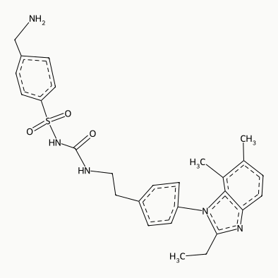 CCc1nc2ccc(C)c(C)c2n1-c1ccc(CCNC(=O)NS(=O)(=O)c2ccc(CN)cc2)cc1